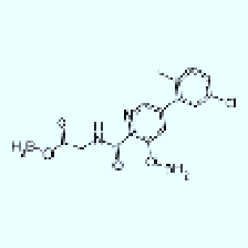 BOC(=O)CNC(=O)c1ncc(-c2cc(Cl)ccc2C)cc1OB